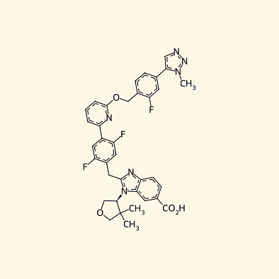 Cn1nncc1-c1ccc(COc2cccc(-c3cc(F)c(Cc4nc5ccc(C(=O)O)cc5n4[C@@H]4COCC4(C)C)cc3F)n2)c(F)c1